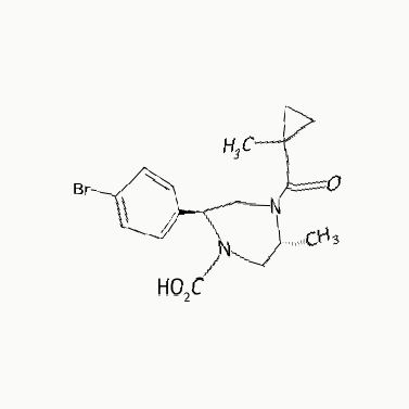 C[C@@H]1CN(C(=O)O)[C@@H](c2ccc(Br)cc2)CN1C(=O)C1(C)CC1